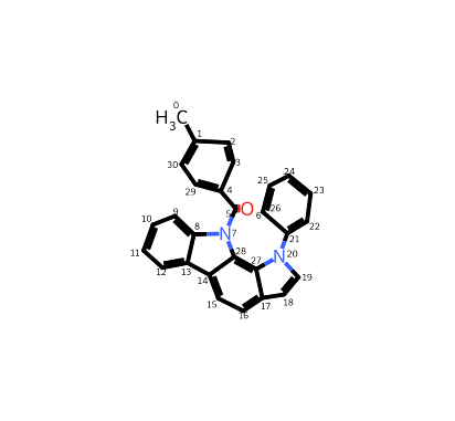 Cc1ccc(C(=O)n2c3ccccc3c3ccc4ccn(-c5ccccc5)c4c32)cc1